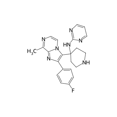 Cc1nccn2c(C3(Nc4ncccn4)CCNCC3)c(-c3ccc(F)cc3)nc12